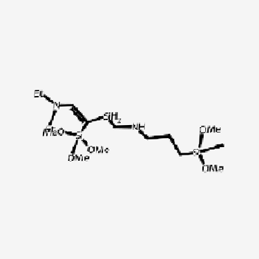 CCN(C=C([SiH2]CNCCC[Si](C)(OC)OC)[Si](OC)(OC)OC)CC